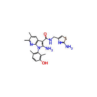 Cc1cc2c(C(=O)NCc3csc(N)n3)c(N)n(-c3c(C)ccc(O)c3C)c2nc1C